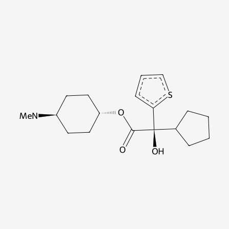 CN[C@H]1CC[C@H](OC(=O)[C@](O)(c2cccs2)C2CCCC2)CC1